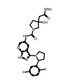 CNC(=O)CC1(O)CCN(C(=O)Nc2cnc3[nH]nc(N4CCCC4c4cc(F)ccc4F)c3c2)C1